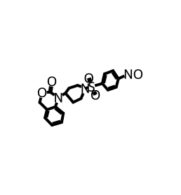 O=Nc1ccc(S(=O)(=O)N2CCC(N3C(=O)OCc4ccccc43)CC2)cc1